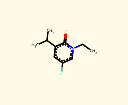 CCn1cc(F)cc(C(C)C)c1=O